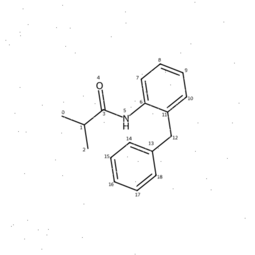 CC(C)C(=O)Nc1ccccc1Cc1ccccc1